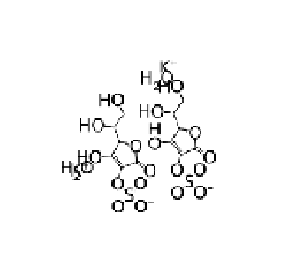 O.O.O=C1O[C@H]([C@@H](O)CO)C(O)=C1OS(=O)(=O)[O-].O=C1O[C@H]([C@@H](O)CO)C(O)=C1OS(=O)(=O)[O-].[K+].[K+]